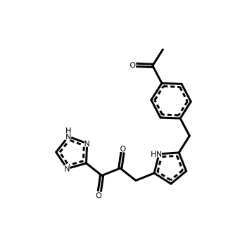 CC(=O)c1ccc(Cc2ccc(CC(=O)C(=O)c3nc[nH]n3)[nH]2)cc1